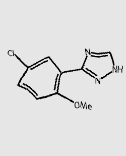 COc1ccc(Cl)cc1-c1nc[nH]n1